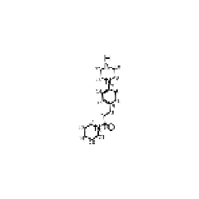 O=C(CCc1ccc(N2CCNCC2)cc1)N1CCCCC1